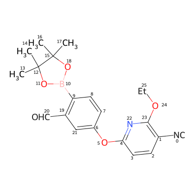 [C-]#[N+]c1ccc(Oc2ccc(B3OC(C)(C)C(C)(C)O3)c(C=O)c2)nc1OCC